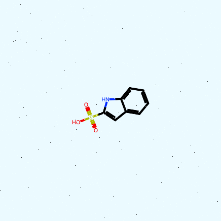 O=S(=O)(O)c1cc2ccccc2[nH]1